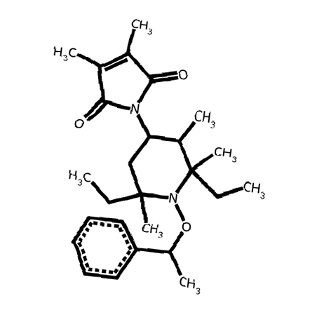 CCC1(C)CC(N2C(=O)C(C)=C(C)C2=O)C(C)C(C)(CC)N1OC(C)c1ccccc1